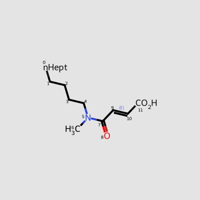 CCCCCCCCCCCN(C)C(=O)/C=C/C(=O)O